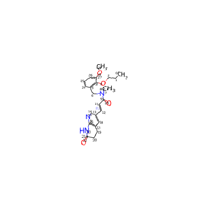 CCCOc1c(CN(C)C(=O)/C=C/c2cnc3c(c2)CCC(=O)N3)cccc1OC